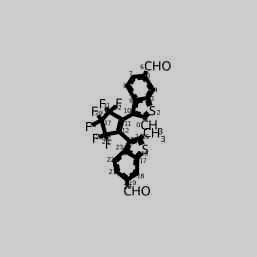 Cc1sc2cc(C=O)ccc2c1C1=C(c2c(C)sc3cc(C=O)ccc23)C(F)(F)C(F)(F)C1(F)F